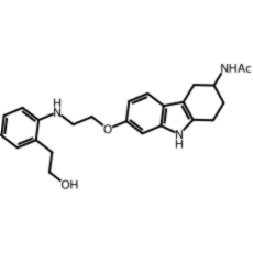 CC(=O)NC1CCc2[nH]c3cc(OCCNc4ccccc4CCO)ccc3c2C1